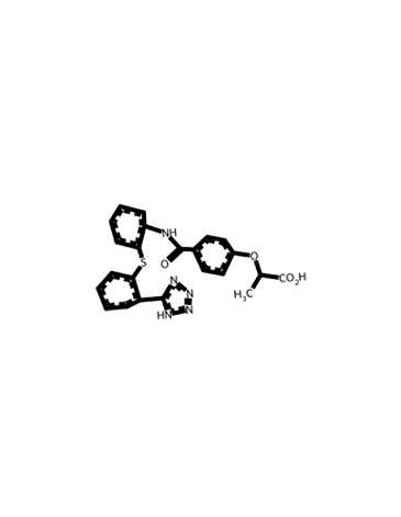 CC(Oc1ccc(C(=O)Nc2ccccc2Sc2ccccc2-c2nnn[nH]2)cc1)C(=O)O